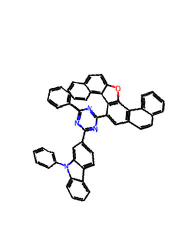 c1ccc(-c2nc(-c3ccc4c5ccccc5n(-c5ccccc5)c4c3)nc(-c3cc4ccc5ccccc5c4c4oc5ccc6ccccc6c5c34)n2)cc1